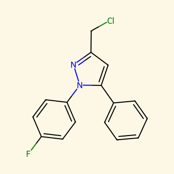 Fc1ccc(-n2nc(CCl)cc2-c2ccccc2)cc1